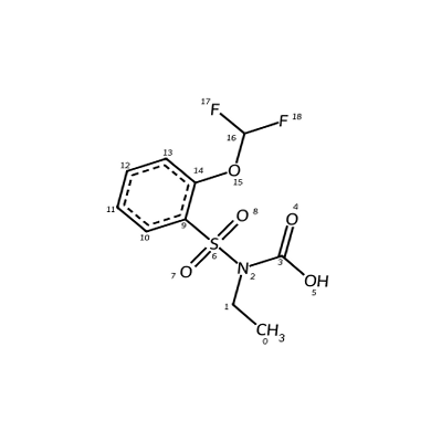 CCN(C(=O)O)S(=O)(=O)c1ccccc1OC(F)F